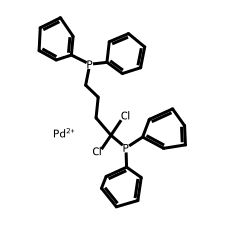 ClC(Cl)(CCCP(c1ccccc1)c1ccccc1)P(c1ccccc1)c1ccccc1.[Pd+2]